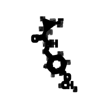 COc1ccc(CNC(=O)[C@H]2C[C@@H]2F)cc1